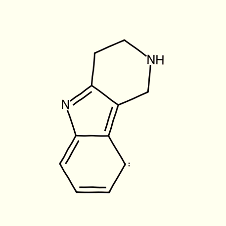 [C]1C=CC=C2N=C3CCNCC3=C12